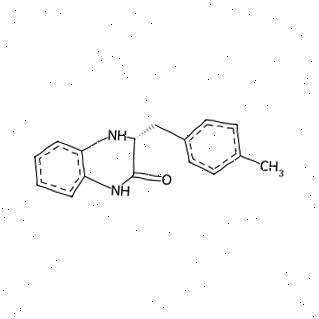 Cc1ccc(C[C@H]2Nc3ccccc3NC2=O)cc1